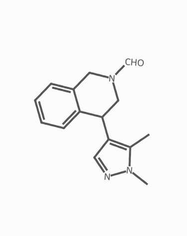 Cc1c(C2CN(C=O)Cc3ccccc32)cnn1C